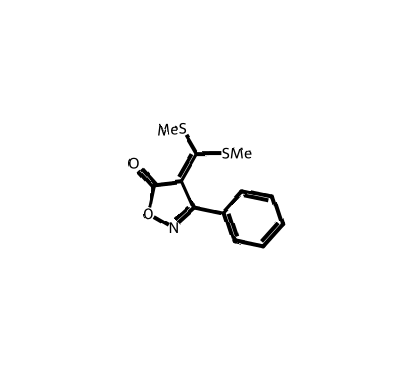 CSC(SC)=C1C(=O)ON=C1c1ccccc1